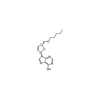 CCCCCOC[C@@H]1C=C[C@H](n2cnc3c(O)ncnc32)O1